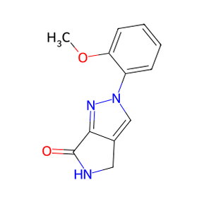 COc1ccccc1-n1cc2c(n1)C(=O)NC2